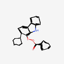 O=C(OOc1c(C2CCCCC2)ccc2c1[nH]c1ccccc12)c1ccccc1